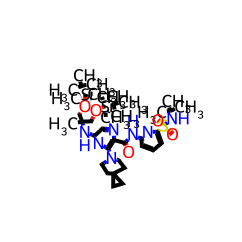 CC(C)(C)NS(=O)(=O)c1cccc(NC(=O)c2ncc(NC(C)(CO[Si](C)(C)C(C)(C)C)CO[Si](C)(C)C(C)(C)C)nc2N2CCC3(CC2)CC3)n1